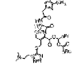 CCCCC(=O)OC(CCC)OC(=O)C1=C(CSc2nnnn2CCN(C)C)CS[C@H]2[C@H](NC(=O)Cc3csc(N)n3)C(=O)N12